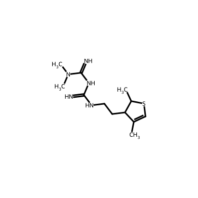 CC1=CSC(C)C1CCNC(=N)NC(=N)N(C)C